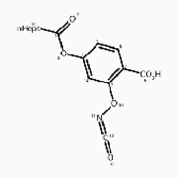 CCCCCCCC(=O)Oc1ccc(C(=O)O)c(ON=C=O)c1